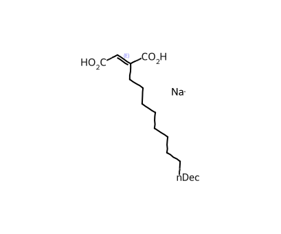 CCCCCCCCCCCCCCCCCC/C(=C\C(=O)O)C(=O)O.[Na]